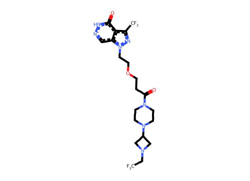 O=C(CCOCCn1nc(C(F)(F)F)c2c(=O)[nH]ncc21)N1CCN(C2CN(CC(F)(F)F)C2)CC1